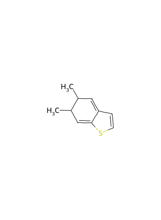 CC1C=c2ccsc2=CC1C